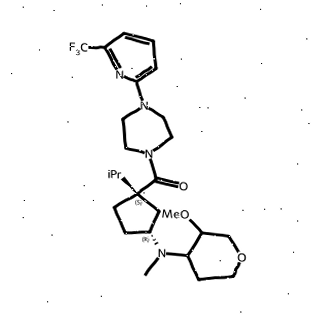 COC1COCCC1N(C)[C@@H]1CC[C@@](C(=O)N2CCN(c3cccc(C(F)(F)F)n3)CC2)(C(C)C)C1